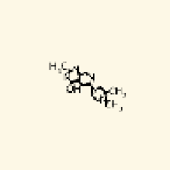 Cc1nc(O)c2cc(N3CCN(C)[C@H](C)C3)ncc2n1